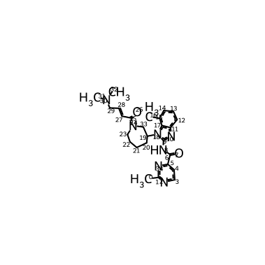 Cc1nccc(C(=O)Nc2nc3cccc(C)c3n2C2CCCCN(C(=O)/C=C/CN(C)C)C2)n1